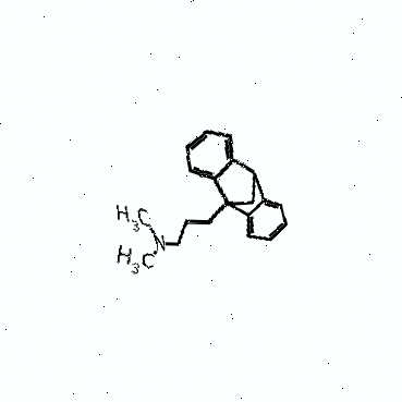 CN(C)CCCC12CC(c3ccccc31)c1ccccc12